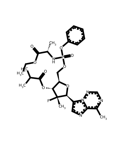 CCOC(=O)[C@H](C)NP(=O)(OC[C@H]1O[C@@H](c2cnc3c(C)ncnn23)[C@](C)(F)[C@@H]1OC(=O)C(C)C)Oc1ccccc1